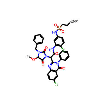 CCCCCCCCCCCCS(=O)(=O)Nc1ccc(Cl)c(NC(=O)C(c2nc3ccc(Cl)cc3c(=O)n2-c2ccccc2)N2C(=O)C(OCC)N(Cc3ccccc3)C2=O)c1